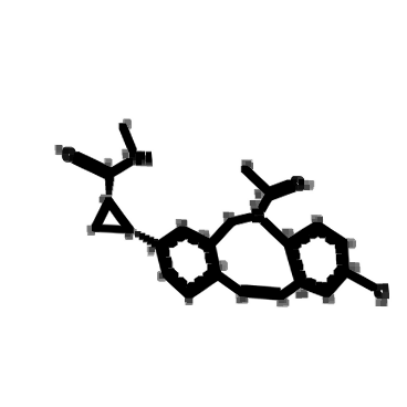 CNC(=O)[C@H]1C[C@H]1c1ccc2c(c1)CN(C(C)=O)c1ccc(Cl)cc1/C=C\2